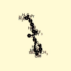 C=C(CCC)C1=C(CN2CCN(c3ccc(C(=O)NS(=O)(=O)c4ccc(N[C@H](CCN5CCN(C(=O)CCCCCC(=O)NC(C(=O)N6C[C@H](O)C[C@H]6C(=O)N[C@@H](C)c6ccc(-c7scnc7C)cc6)C(C)(C)C)CC5)CSc5ccccc5)c(S(=O)(=O)C(F)(F)F)c4)cc3)CC2)CCC(C)(C)C1